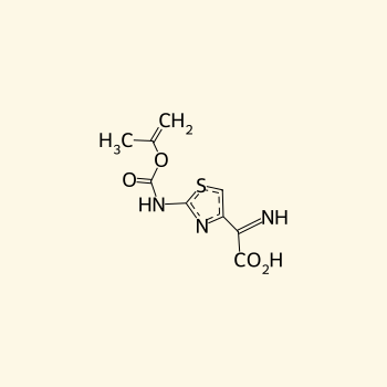 C=C(C)OC(=O)Nc1nc(C(=N)C(=O)O)cs1